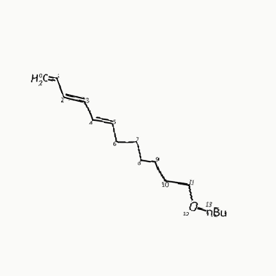 C=CC=CC=CCCCCCCOCCCC